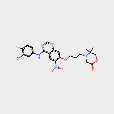 CC1(C)COC(=O)CN1CCCOc1cc2ncnc(Nc3ccc(F)c(Cl)c3)c2cc1[N+](=O)[O-]